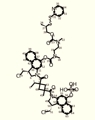 CCC1(C(=O)N2C[C@@H](CCl)c3c2cc(OC(=O)N(C)CCN(C)C(=O)OC[C@@H](C)SSc2ccccn2)c2ccccc32)CC(C)(C(=O)N2C[C@@H](CCl)c3c2cc(OP(=O)(O)O)c2ccccc32)C1